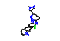 Cn1cc(-c2ccc3ncc(Cc4cc5cccnc5cc4Cl)n3n2)cn1